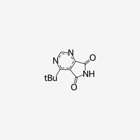 CC(C)(C)c1ncnc2c1C(=O)NC2=O